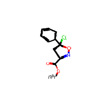 CCCOC(=O)C1=NOC(Cl)(c2ccccc2)C1